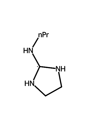 CCCN[C]1NCCN1